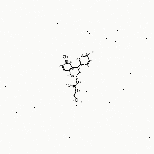 CCOC(=O)OC1CC(c2ccc(F)cc2)c2cc(Cl)ccc2N1